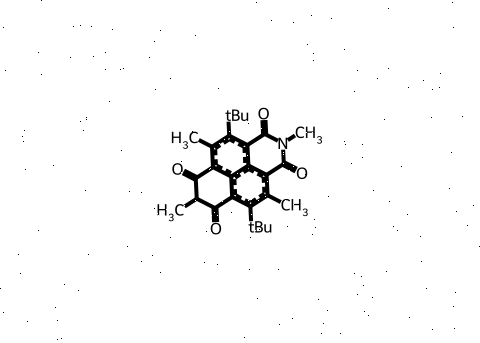 Cc1c(C(C)(C)C)c2c3c(c(C)c(C(C)(C)C)c4c3c1C(=O)N(C)C4=O)C(=O)C(C)C2=O